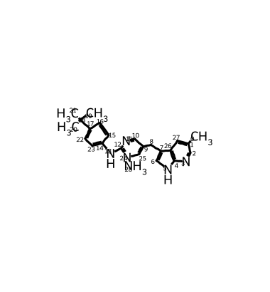 Cc1cnc2[nH]cc(Cc3cnc(Nc4ccc(C(C)(C)C)cc4)nc3)c2c1.N